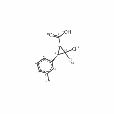 O=C(O)[C@H]1[C@H](c2cccc(F)c2)C1(Cl)Cl